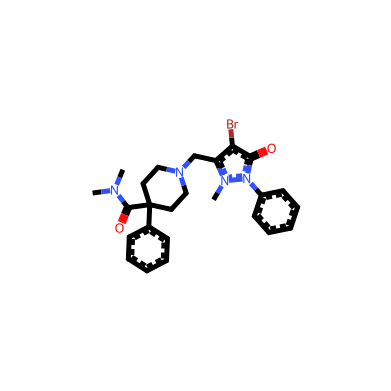 CN(C)C(=O)C1(c2ccccc2)CCN(Cc2c(Br)c(=O)n(-c3ccccc3)n2C)CC1